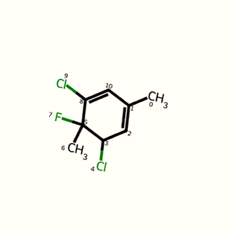 CC1=CC(Cl)C(C)(F)C(Cl)=C1